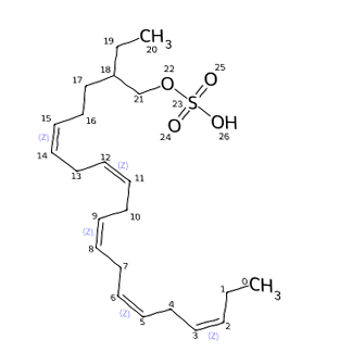 CC/C=C\C/C=C\C/C=C\C/C=C\C/C=C\CCC(CC)COS(=O)(=O)O